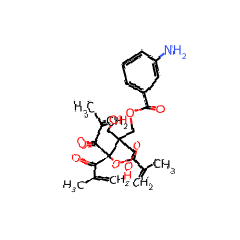 C=C(C)C(=O)OC(C(=O)C(=C)C)(C(=O)C(=C)C)C(CO)(CO)COC(=O)c1cccc(N)c1